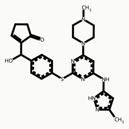 Cc1cc(Nc2cc(N3CCN(C)CC3)nc(Sc3ccc(C(O)C4=CCCC4=O)cc3)n2)[nH]n1